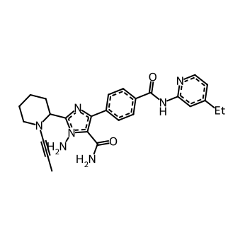 CC#CN1CCCCC1c1nc(-c2ccc(C(=O)Nc3cc(CC)ccn3)cc2)c(C(N)=O)n1N